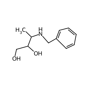 CC(NCc1ccccc1)C(O)CO